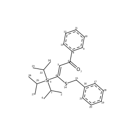 CC(C)[Si](/C(=C/C(=O)c1ccccc1)SCc1ccccc1)(C(C)C)C(C)C